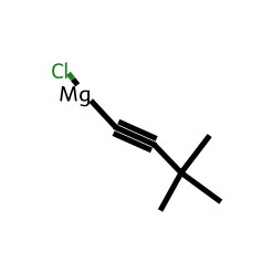 CC(C)(C)C#[C][Mg][Cl]